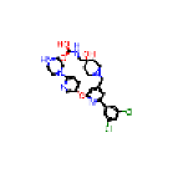 O=C(O)NCC1(O)CCN(Cc2cc(Oc3ccc(N4CCNCC4)nc3)nc(-c3cc(Cl)cc(Cl)c3)c2)CC1